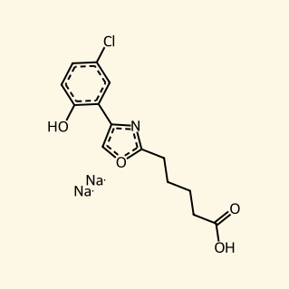 O=C(O)CCCCc1nc(-c2cc(Cl)ccc2O)co1.[Na].[Na]